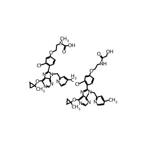 Cc1ccnc(Cn2c(-c3ccc(OCCN(C)C(=O)O)cc3Cl)nc3c(OC4(C)CC4)ncnc32)c1.Cc1ccnc(Cn2c(-c3ccc(OCCNC(=O)CO)cc3Cl)nc3c(OC4(C)CC4)ncnc32)c1